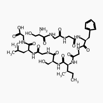 CC[C@H](C)[C@H](NC(=O)CNC(=O)[C@H](Cc1ccccc1)NC(=O)CNC(=O)CNC(=O)[C@@H](N)CO)C(=O)N[C@@H](CO)C(=O)NCC(=O)N[C@@H](CC(C)C)C(=O)NCC(=O)O